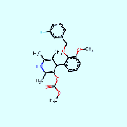 COC(=O)OC1=C(C)NC(C)=C(C)C1c1cccc(OC)c1OCc1cccc(F)c1